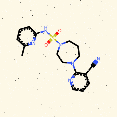 Cc1cccc(NS(=O)(=O)N2CCCN(c3ncccc3C#N)CC2)n1